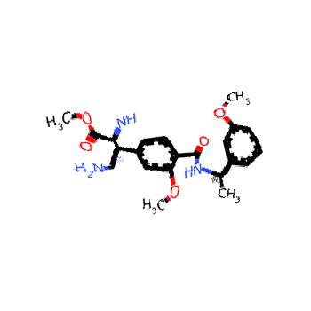 COC(=O)C(=N)/C(=C\N)c1ccc(C(=O)N[C@H](C)c2cccc(OC)c2)c(OC)c1